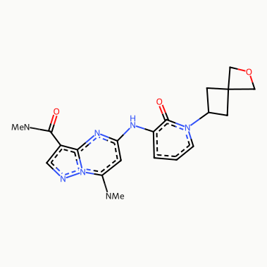 CNC(=O)c1cnn2c(NC)cc(Nc3cccn(C4CC5(COC5)C4)c3=O)nc12